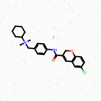 C[N+](C)(Cc1ccc(NC(=O)C2=Cc3cc(Cl)ccc3OC2)cc1)C1CCCCC1.[I-]